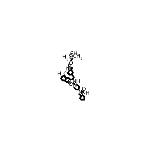 Cc1cc(CC(NC(=O)N2CCC(N3Cc4ccccc4NC3=O)CC2)c2cc3ccccc3cn2)cc2cn(COCC[Si](C)(C)C)nc12